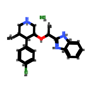 CCCC1CNCC(OC(CC)c2nc3ccccc3[nH]2)C1c1ccc(Cl)cc1.Cl